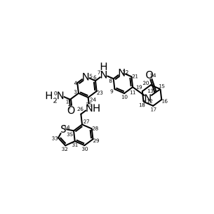 NC(=O)c1cnc(Nc2ccc(N3C(=O)C4CCC3CC4)cn2)cc1NCc1cccc2ccsc12